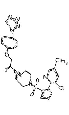 Cc1cnc(-n2cccc2S(=O)(=O)N2CCN(C(=O)COc3ccc(-n4cnnn4)cc3)CC2)c(Cl)c1